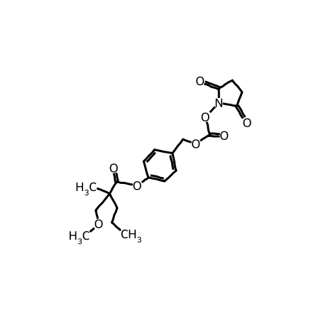 CCCC(C)(COC)C(=O)Oc1ccc(COC(=O)ON2C(=O)CCC2=O)cc1